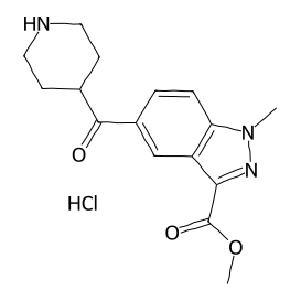 COC(=O)c1nn(C)c2ccc(C(=O)C3CCNCC3)cc12.Cl